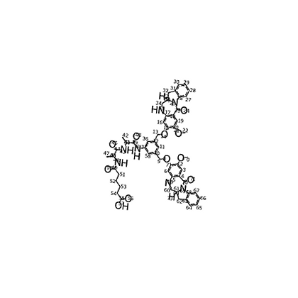 COc1cc2c(cc1OCc1cc(COc3cc4c(cc3OC)C(=O)N3c5ccccc5C[C@H]3CN4)cc(NC(=O)[C@H](C)NC(=O)[C@H](C)NC(=O)CCCCC(=O)O)c1)N=C[C@H]1Cc3ccccc3N1C2=O